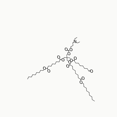 CCCCCCCCCOC(=O)CCCCCCC(=O)OCC(COC(=O)CCCCCCC=O)(COC(=O)CCCCCCC(=O)OCCCCCCCCC)COC(=O)OCCCN(CC)CC